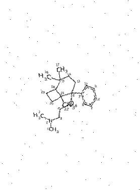 CN(C)CCOC1(c2ccccc2)CCC(C)(C)C2CCC21C